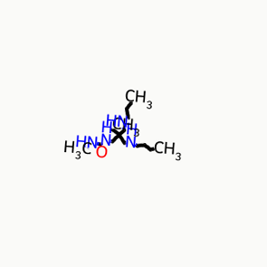 CCCCNCC(CC)(CNCCCC)CNC(=O)NC